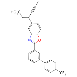 CC#CC(CC(=O)O)c1ccc2oc(-c3cccc(-c4ccc(C(F)(F)F)cc4)c3)nc2c1